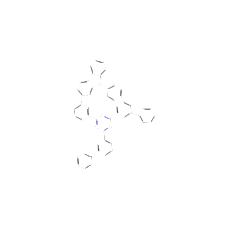 c1ccc(-c2cccc(-c3nc(-c4ccc5sc6ccccc6c5c4)nc(-c4cccc5c4sc4c5ccc5c6ccccc6n(-c6ccccc6)c54)n3)c2)cc1